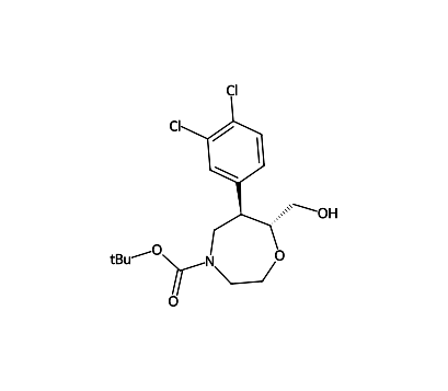 CC(C)(C)OC(=O)N1CCO[C@@H](CO)[C@H](c2ccc(Cl)c(Cl)c2)C1